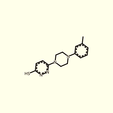 Cc1cccc(N2CCN(c3ccc(S)nn3)CC2)c1